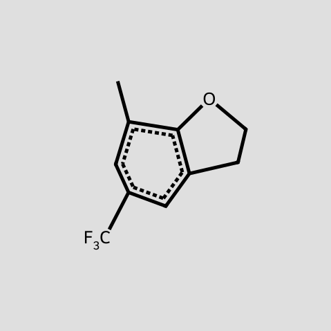 Cc1cc(C(F)(F)F)cc2c1OCC2